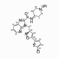 CC(C)N1CCC(NC(=O)c2nc3cccnc3n2Cc2cc(-c3ccc(Cl)s3)on2)CC1